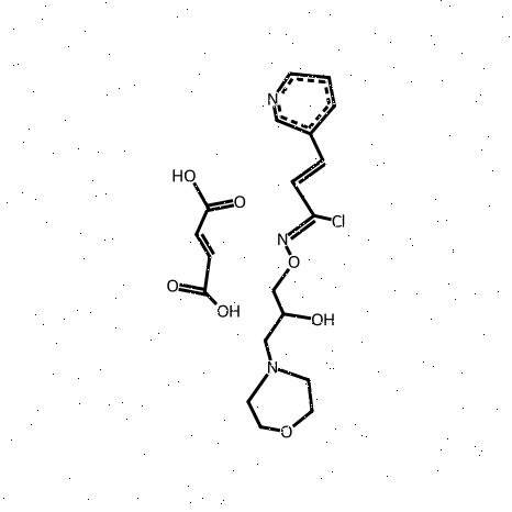 O=C(O)C=CC(=O)O.OC(CON=C(Cl)C=Cc1cccnc1)CN1CCOCC1